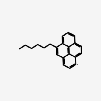 CCCCCCc1cc2cc[c]c3ccc4cccc1c4c32